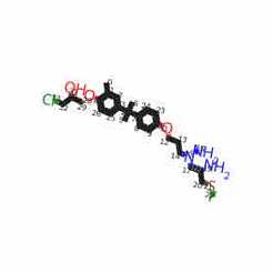 Cc1cc(C(C)(C)c2ccc(OCCCN(N)/C=C(\N)CSF)cc2)ccc1OCC(O)CCl